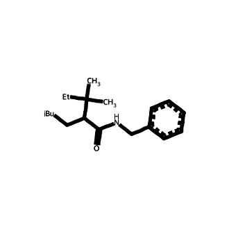 CCC(C)CC(C(=O)NCc1ccccc1)C(C)(C)CC